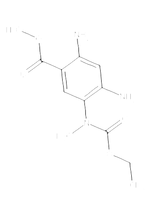 CCOC(=O)N(C)c1cc(C(=O)OC)c(N)cc1N